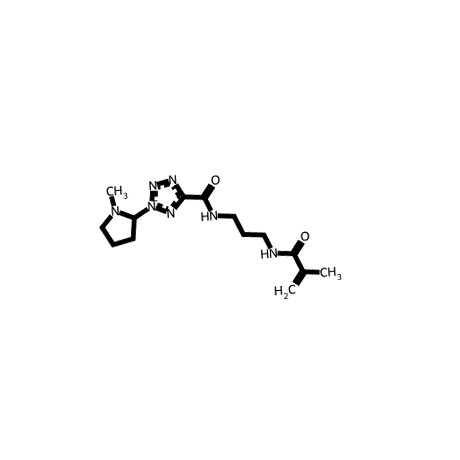 C=C(C)C(=O)NCCCNC(=O)c1nnn(C2CCCN2C)n1